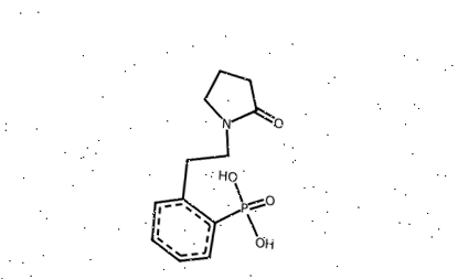 O=C1CCCN1CCc1ccccc1P(=O)(O)O